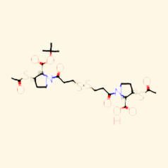 CC(=O)S[C@H]1CCN(C(=O)CCSSCCC(=O)N2CC[C@H](SC(C)=O)[C@H]2C(=O)OC(C)(C)C)[C@@H]1C(=O)O